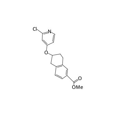 COC(=O)c1ccc2c(c1)CCC(Oc1ccnc(Cl)c1)C2